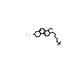 C[C@H](CCCC(C)(C)F)[C@H]1CC[C@H]2[C@@H]3CC=C4CC(O)CC[C@]4(C)[C@H]3CC[C@]12C